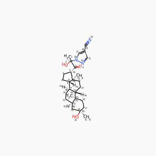 CC(O)(C(=O)[C@H]1CC[C@H]2[C@@H]3CC[C@@H]4C[C@](C)(O)CC[C@]4(C)[C@H]3CC[C@]12C)n1cc(C#N)cn1